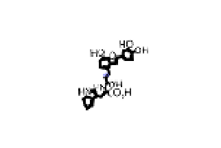 O=C(O)[C@@H](Cc1c[nH]c2ccccc12)NC(O)/C=C/c1ccc(O)c2oc(-c3ccc(O)c(O)c3)cc12